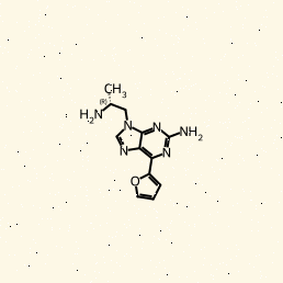 C[C@@H](N)Cn1cnc2c(-c3ccco3)nc(N)nc21